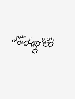 COC(=O)[C@H]1CCN(c2ccc(-c3cn4cc(C(=O)N5CCc6ccccc6[C@H]5C)cc(-c5ccccc5)c4n3)c(F)c2)C1